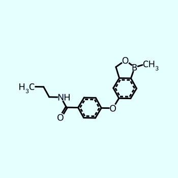 CCCNC(=O)c1ccc(Oc2ccc3c(c2)COB3C)cc1